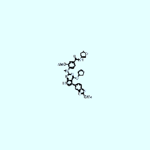 COc1nc2ccc(-c3c[nH]c4nc(Nc5ccc(C(=O)N[C@H]6CCOC6)cc5OC)nc(OC5CCCC5)c34)cc2o1